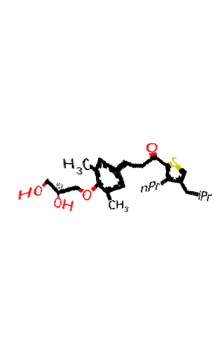 CCCc1c(CC(C)C)csc1C(=O)CCc1cc(C)c(OC[C@@H](O)CO)c(C)c1